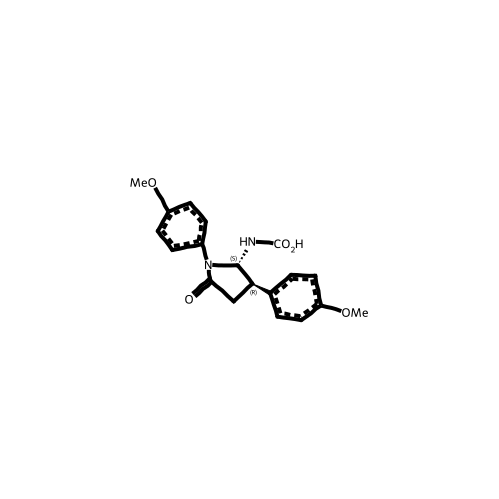 COc1ccc([C@H]2CC(=O)N(c3ccc(OC)cc3)[C@@H]2NC(=O)O)cc1